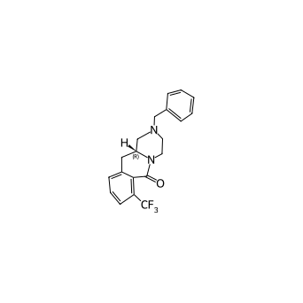 O=C1c2c(cccc2C(F)(F)F)C[C@@H]2CN(Cc3ccccc3)CCN12